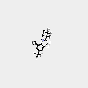 FC(F)(F)c1cc(Cl)c(/N=C(\Cl)C(F)(F)C(F)(F)F)c(Cl)c1